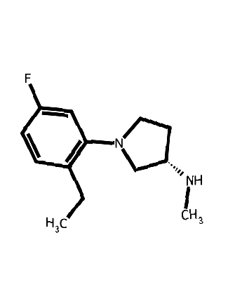 CCc1ccc(F)cc1N1CC[C@H](NC)C1